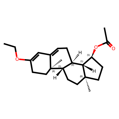 CCOC1=CC2=CC[C@H]3[C@@H]4[C@@H](OC(C)=O)CC[C@@]4(C)CC[C@@H]3[C@@]2(C)CC1